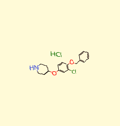 Cl.Clc1cc(OC2CCNCC2)ccc1OCc1ccccc1